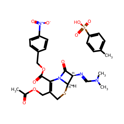 CC(=O)OCC1=C(C(=O)OCc2ccc([N+](=O)[O-])cc2)N2C(=O)[C@@H](N=CN(C)C)[C@H]2SC1.Cc1ccc(S(=O)(=O)O)cc1